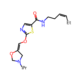 CC/C=C\CCNC(=O)c1cnc(OC=C2CN(C(C)C)CO2)s1